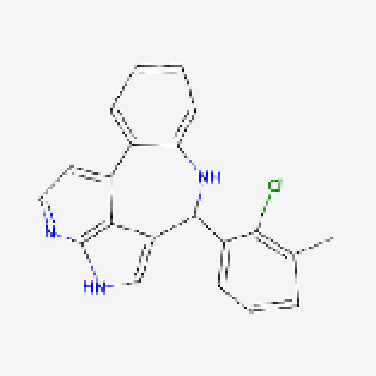 Cc1cccc(C2Nc3ccccc3-c3ccnc4[nH]cc2c34)c1Cl